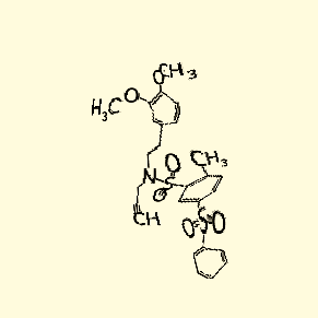 C#CCN(CCc1ccc(OC)c(OC)c1)S(=O)(=O)c1cc(S(=O)(=O)c2ccccc2)ccc1C